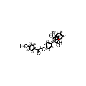 O=C(COc1ccc(N2C(=O)C3C(C2=O)C2C=CC3[C@H]3C[C@H]2C3)cc1)c1ccc(O)cc1